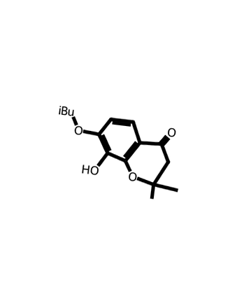 CCC(C)Oc1ccc2c(c1O)OC(C)(C)CC2=O